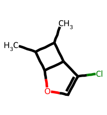 CC1C(C)C2C(Cl)=COC12